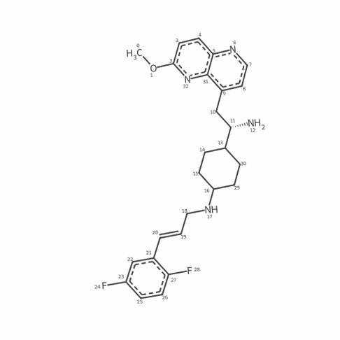 COc1ccc2nccc(C[C@H](N)C3CCC(NCC=Cc4cc(F)ccc4F)CC3)c2n1